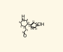 Cl.O=CCC1CCNCC1c1cscn1